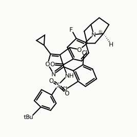 CC(C)(C)c1ccc(S(=O)(=O)NC(=O)c2ccc(N3C4CC[C@H]3CC(OCc3c(-c5c(Cl)cccc5Cl)noc3C3CC3)C4)c(F)c2)cc1